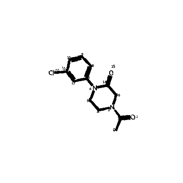 CC(=O)N1CCN(c2cccc(Cl)c2)C(=O)C1